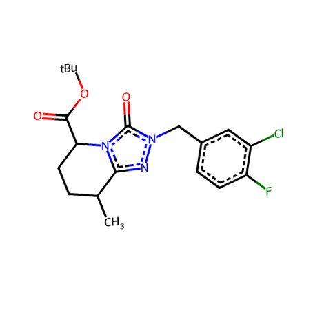 CC1CCC(C(=O)OC(C)(C)C)n2c1nn(Cc1ccc(F)c(Cl)c1)c2=O